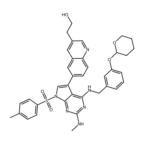 CNc1nc(NCc2cccc(OC3CCCCO3)c2)c2c(-c3ccc4ncc(CCO)cc4c3)cn(S(=O)(=O)c3ccc(C)cc3)c2n1